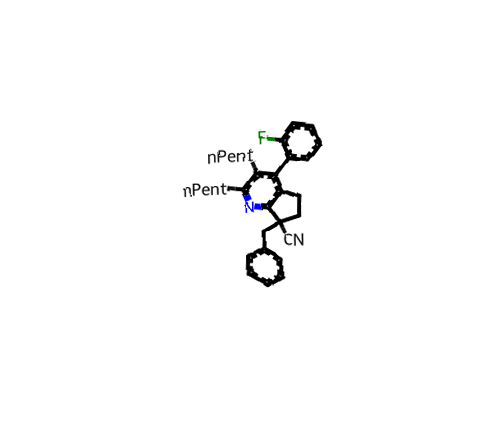 CCCCCc1nc2c(c(-c3ccccc3F)c1CCCCC)CCC2(C#N)Cc1ccccc1